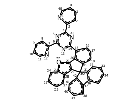 c1ccc(-c2nc(-c3ccccn3)nc(-c3cccc4c3-c3oc5ccccc5c3C43c4ccccc4-c4ccccc43)n2)nc1